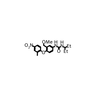 CCC(CC)NC(=O)Nc1ccc(Oc2ccc([N+](=O)[O-])cc2C)c(COC)c1